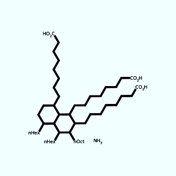 CCCCCCCCC1C(CCCCCCCC(=O)O)C(CCCCCCCC(=O)O)C2C(CCCCCCCC(=O)O)CCC(CCCCCC)C2C1CCCCCC.N